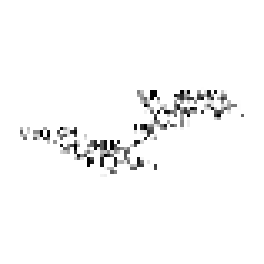 COCC(O)CN1CCC(Nc2cccc3c(CC(F)(F)F)c(C#CCNc4ccc(C(=O)NC(CCC(N)=O)C(=O)OC)cc4OC(F)F)sc23)C(F)C1